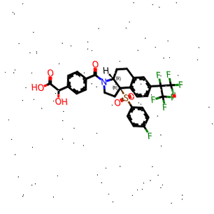 O=C(O)C(O)c1ccc(C(=O)N2CC[C@@]3(S(=O)(=O)c4ccc(F)cc4)c4ccc(C(F)(C(F)(F)F)C(F)(F)F)cc4CC[C@@H]23)cc1